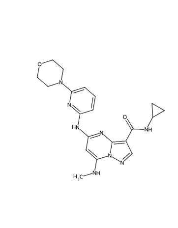 CNc1cc(Nc2cccc(N3CCOCC3)n2)nc2c(C(=O)NC3CC3)cnn12